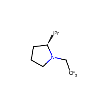 CC(C)[C@@H]1CCCN1CC(F)(F)F